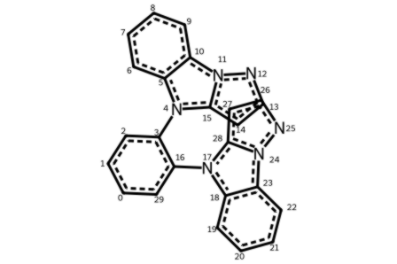 c1ccc(-n2c3ccccc3n3nccc23)c(-n2c3ccccc3n3nccc23)c1